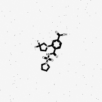 O=C(O)c1ccc(C(=O)NS(=O)(=O)N2CCCC2)c(N2CCC(F)(F)C2)c1